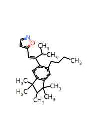 CCCCc1cc2c(cc1/C(=C/c1ccno1)C(C)C)C(C)(C)C(C)C2(C)C